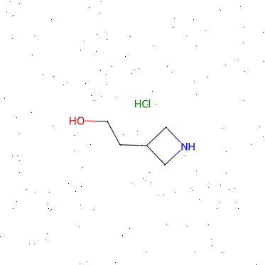 Cl.OCCC1CNC1